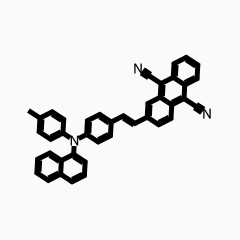 Cc1ccc(N(c2ccc(C=Cc3ccc4c(C#N)c5ccccc5c(C#N)c4c3)cc2)c2cccc3ccccc23)cc1